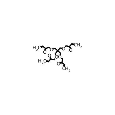 C=CC(=O)COCC(COCC(=O)C=C)(COCC(=O)C=C)COCC(=O)C=C